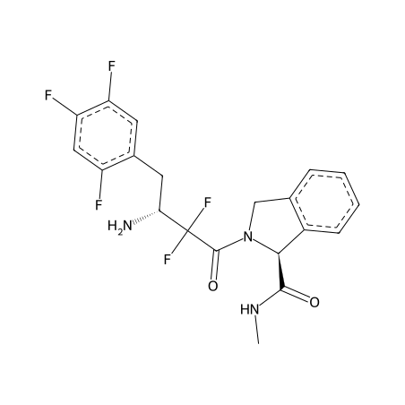 CNC(=O)[C@@H]1c2ccccc2CN1C(=O)C(F)(F)[C@H](N)Cc1cc(F)c(F)cc1F